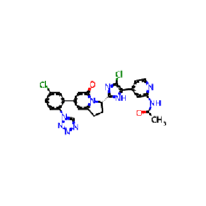 CC(=O)Nc1cc(-c2[nH]c([C@@H]3CCc4cc(-c5cc(Cl)ccc5-n5cnnn5)cc(=O)n43)nc2Cl)ccn1